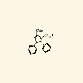 CSC1=N[C@H](c2ccccc2)[C@@H](c2ccccc2)N1C(=O)O